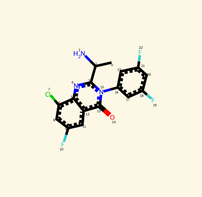 CC(N)c1nc2c(Cl)cc(F)cc2c(=O)n1-c1cc(F)cc(F)c1